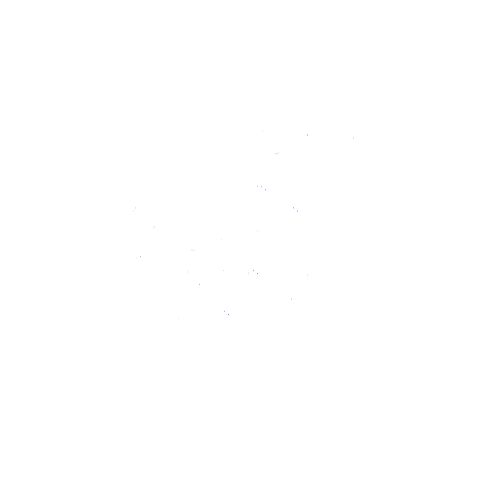 Cc1nc(C(=O)N2CCCCC2Cc2nc3c(F)cc(F)cc3[nH]2)c(-c2ccc(F)cc2)s1